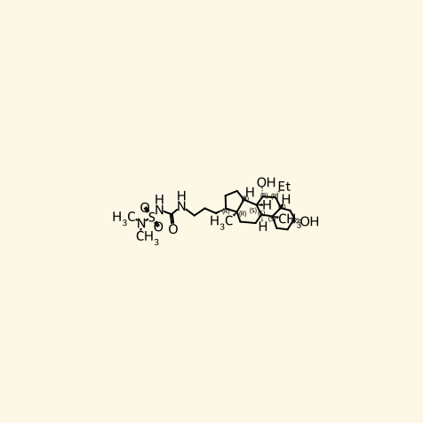 CC[C@H]1[C@@H](O)[C@@H]2[C@H](CC[C@]3(C)[C@@H](CCCNC(=O)NS(=O)(=O)N(C)C)CC[C@@H]23)[C@@]2(C)CC[C@@H](O)C[C@@H]12